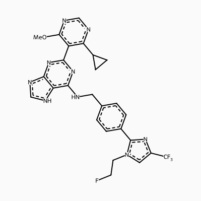 COc1ncnc(C2CC2)c1-c1nc(NCc2ccc(-c3nc(C(F)(F)F)cn3CCF)cc2)c2[nH]cnc2n1